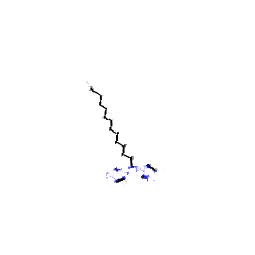 CCCCCCCCCCCCCC(n1ccnc1)n1ccnc1